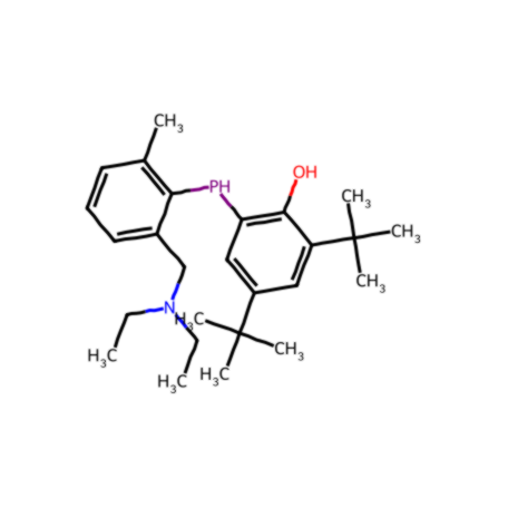 CCN(CC)Cc1cccc(C)c1Pc1cc(C(C)(C)C)cc(C(C)(C)C)c1O